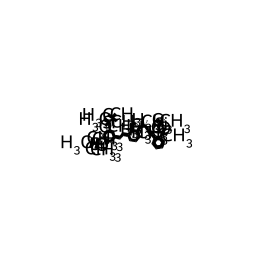 C[C@H](C#Cc1ccccc1C(C)(C)O[Si](C)(C)C)[C@H]1CC[C@H]2/C(=C/C=C3C[C@@H](O[Si](C)(C)C(C)(C)C)C[C@H](O[Si](C)(C)C(C)(C)C)C3)CCC[C@]12C